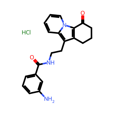 Cl.Nc1cccc(C(=O)NCCc2c3c(n4ccccc24)C(=O)CCC3)c1